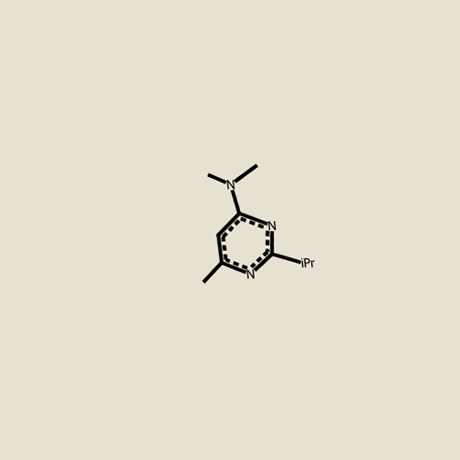 Cc1cc(N(C)C)nc(C(C)C)n1